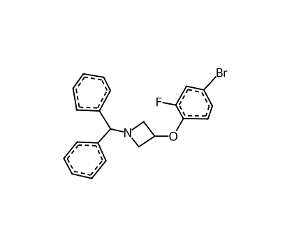 Fc1cc(Br)ccc1OC1CN(C(c2ccccc2)c2ccccc2)C1